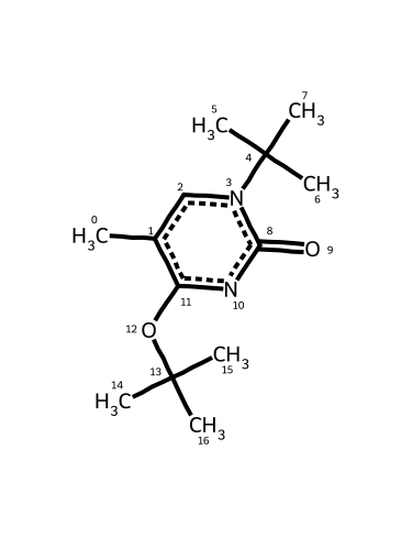 Cc1cn(C(C)(C)C)c(=O)nc1OC(C)(C)C